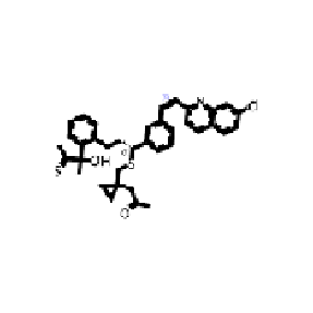 CC(=O)CC1(CS[C@H](CCc2ccccc2C(C)(O)C(C)=S)c2cccc(/C=C\c3ccc4ccc(Cl)cc4n3)c2)CC1